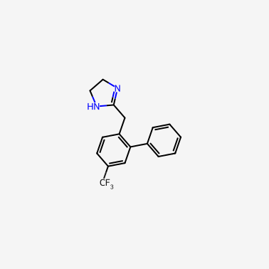 FC(F)(F)c1ccc(CC2=NCCN2)c(-c2ccccc2)c1